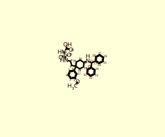 COc1cccc(C2(CCNS(=O)(=O)NC(=O)O)CCC(NC(c3ccccc3)c3ccccc3)CC2)c1